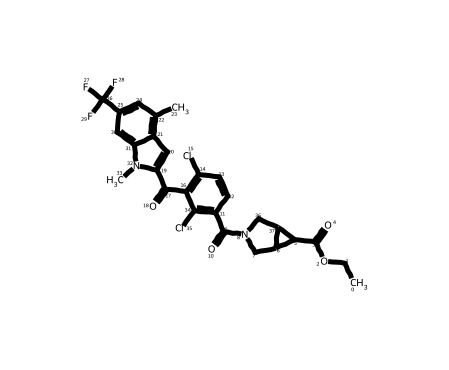 CCOC(=O)C1C2CN(C(=O)c3ccc(Cl)c(C(=O)c4cc5c(C)cc(C(F)(F)F)cc5n4C)c3Cl)CC21